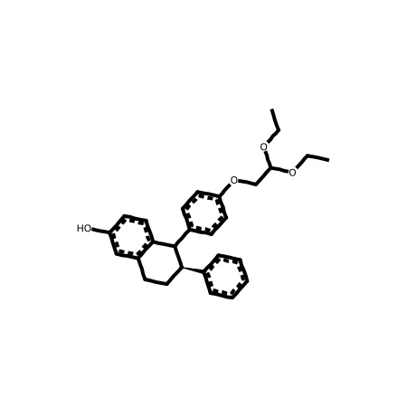 CCOC(COc1ccc(C2c3ccc(O)cc3CC[C@@H]2c2ccccc2)cc1)OCC